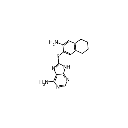 Nc1cc2c(cc1Sc1nc3c(N)ncnc3[nH]1)CCCC2